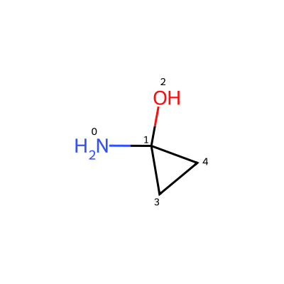 NC1(O)CC1